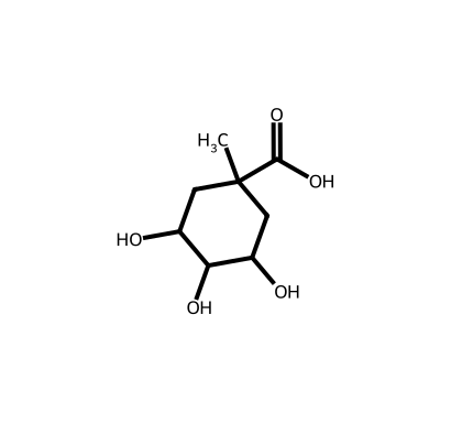 CC1(C(=O)O)CC(O)C(O)C(O)C1